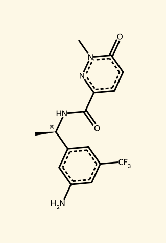 C[C@@H](NC(=O)c1ccc(=O)n(C)n1)c1cc(N)cc(C(F)(F)F)c1